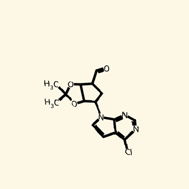 CC1(C)OC2C(C=O)CC(n3ccc4c(Cl)ncnc43)C2O1